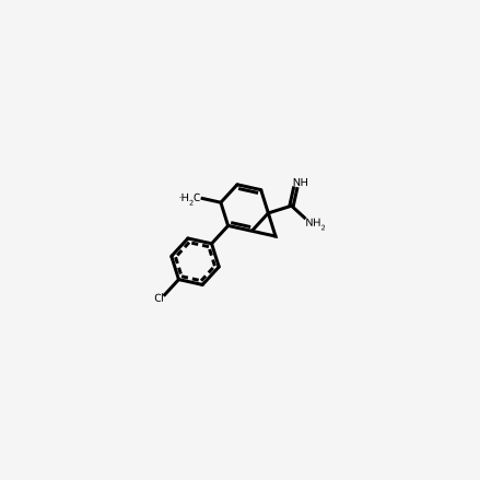 [CH2]C1C=CC2(C(=N)N)CC2=C1c1ccc(Cl)cc1